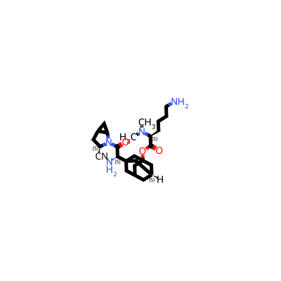 CN(C)[C@@H](CCCCN)C(=O)OC12CC3C[C@H](C1)CC([C@H](N)C(=O)N1C4CC4C[C@H]1C#N)(C3)C2